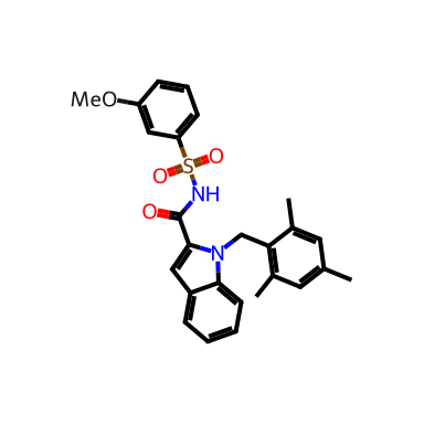 COc1cccc(S(=O)(=O)NC(=O)c2cc3ccccc3n2Cc2c(C)cc(C)cc2C)c1